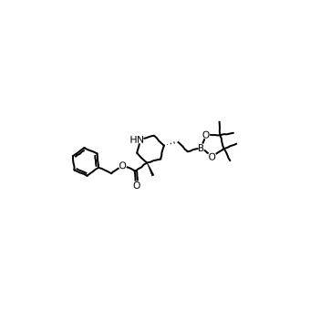 CC1(C)OB(CC[C@H]2CNC[C@@](C)(C(=O)OCc3ccccc3)C2)OC1(C)C